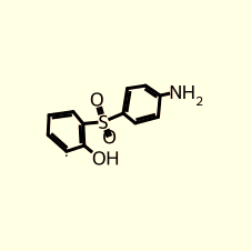 Nc1ccc(S(=O)(=O)c2ccc[c]c2O)cc1